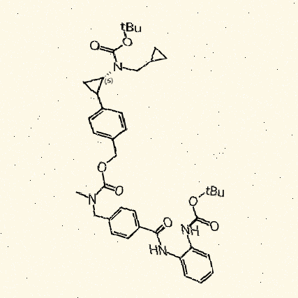 CN(Cc1ccc(C(=O)Nc2ccccc2NC(=O)OC(C)(C)C)cc1)C(=O)OCc1ccc(C2C[C@@H]2N(CC2CC2)C(=O)OC(C)(C)C)cc1